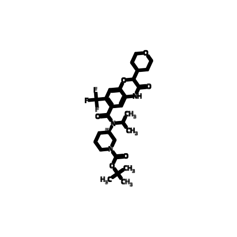 CC(C)N(C(=O)c1cc2c(cc1C(F)(F)F)OC(C1CCOCC1)C(=O)N2)[C@@H]1CCCN(C(=O)OC(C)(C)C)C1